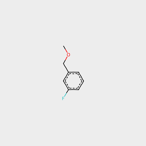 COCc1cccc(F)c1